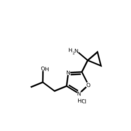 CC(O)Cc1noc(C2(N)CC2)n1.Cl